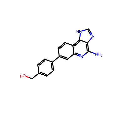 Nc1nc2cc(-c3ccc(CO)cc3)ccc2c2[nH]cnc12